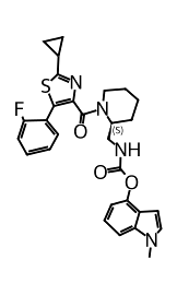 Cn1ccc2c(OC(=O)NC[C@@H]3CCCCN3C(=O)c3nc(C4CC4)sc3-c3ccccc3F)cccc21